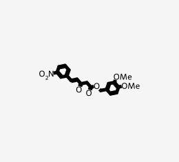 COc1ccc(COC(=O)CC(=O)C=Cc2cccc([N+](=O)[O-])c2)cc1OC